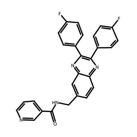 O=C(NCc1ccc2nc(-c3ccc(F)cc3)c(-c3ccc(F)cc3)nc2c1)c1cccnc1